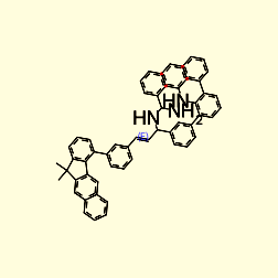 CC1(C)c2cc3ccccc3cc2-c2c(-c3cccc(/C=C/C(NC(N)c4ccccc4)c4cccc(-c5cccc(-c6ccccc6)c5Nc5ccccc5)c4)c3)cccc21